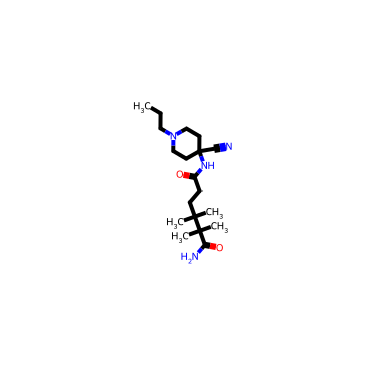 CCCN1CCC(C#N)(NC(=O)[CH]CC(C)(C)C(C)(C)C(N)=O)CC1